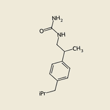 CC(C)Cc1ccc(C(C)CNC(N)=O)cc1